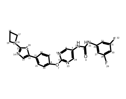 O=C(Nc1cnc(Oc2ccc(-c3cnc(N4CCC4)s3)cc2)nc1)Nc1cc(F)cc(F)c1